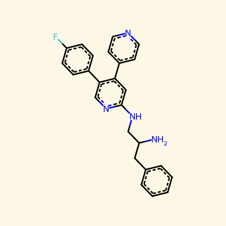 NC(CNc1cc(-c2ccncc2)c(-c2ccc(F)cc2)cn1)Cc1ccccc1